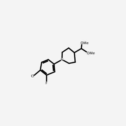 COC(OC)C1CCN(c2ccc(Cl)c(F)c2)CC1